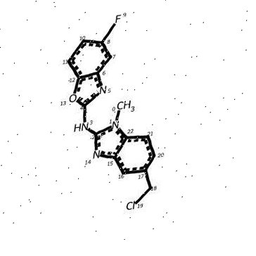 Cn1c(Nc2nc3cc(F)ccc3o2)nc2cc(CCl)ccc21